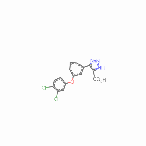 O=C(O)c1[nH]nnc1-c1cccc(Oc2ccc(Cl)c(Cl)c2)c1